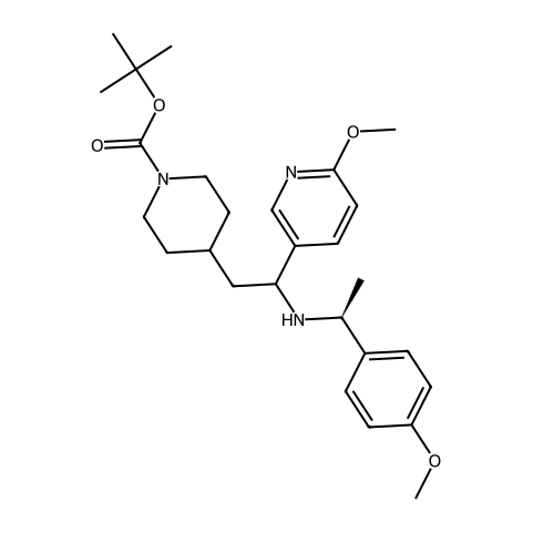 COc1ccc([C@H](C)NC(CC2CCN(C(=O)OC(C)(C)C)CC2)c2ccc(OC)nc2)cc1